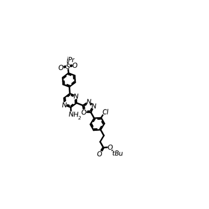 CC(C)S(=O)(=O)c1ccc(-c2cnc(N)c(-c3nnc(-c4ccc(CCC(=O)OC(C)(C)C)cc4Cl)o3)n2)cc1